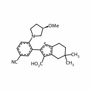 CO[C@@H]1CCN(c2ccc(C#N)cc2-c2sc3c(c2C(=O)O)CC(C)(C)CC3)C1